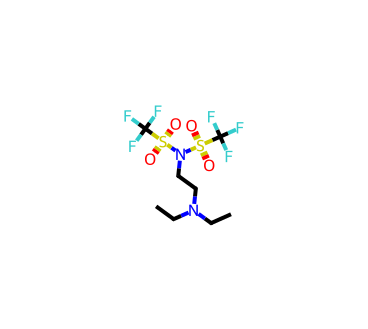 CCN(CC)CCN(S(=O)(=O)C(F)(F)F)S(=O)(=O)C(F)(F)F